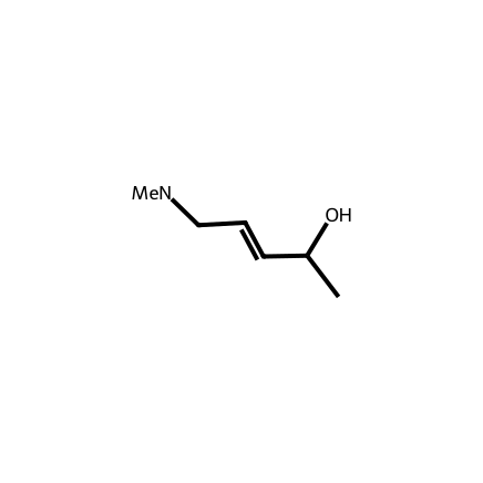 CNC/C=C/C(C)O